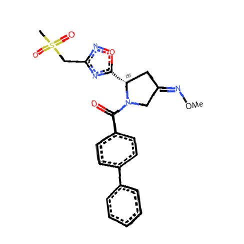 CON=C1C[C@@H](c2nc(CS(C)(=O)=O)no2)N(C(=O)c2ccc(-c3ccccc3)cc2)C1